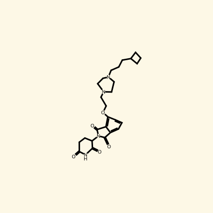 O=C1CCC(N2C(=O)c3cccc(OCCN4CCN(CCCC5CCC5)CC4)c3C2=O)C(=O)N1